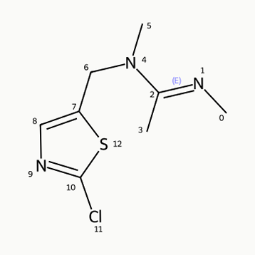 C/N=C(\C)N(C)Cc1cnc(Cl)s1